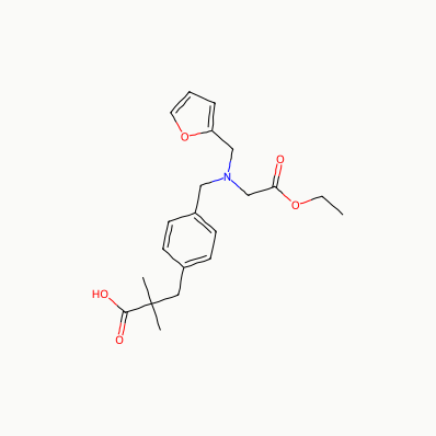 CCOC(=O)CN(Cc1ccc(CC(C)(C)C(=O)O)cc1)Cc1ccco1